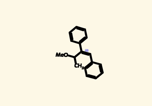 COC(C)/C(=C\c1ccccc1)c1ccccc1